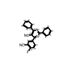 N#Cc1cc(-c2nc(-c3ccccc3)nc(-c3ccccc3)c2C#N)ccc1F